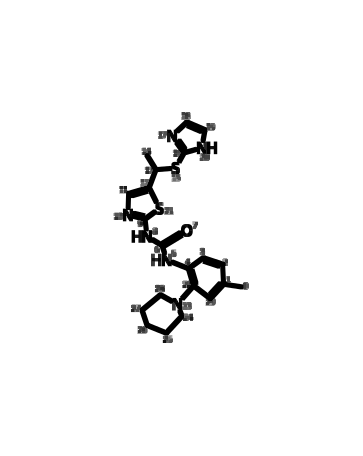 Cc1ccc(NC(=O)Nc2ncc(C(C)Sc3ncc[nH]3)s2)c(N2CCCCC2)c1